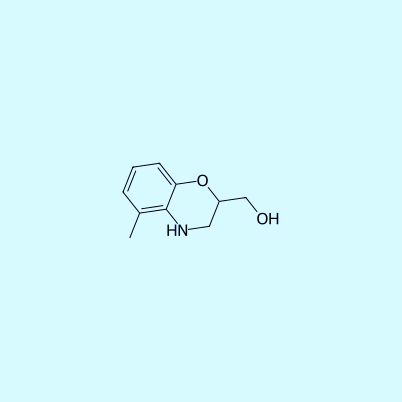 Cc1cccc2c1NCC(CO)O2